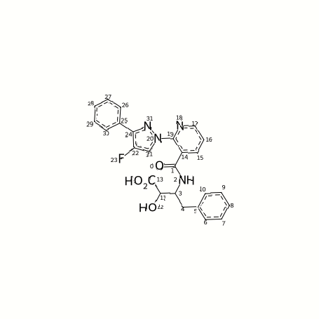 O=C(NC(Cc1ccccc1)C(O)C(=O)O)c1cccnc1-n1cc(F)c(-c2ccccc2)n1